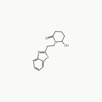 O=C1CCCC(O)N1CCc1nc2ccccc2s1